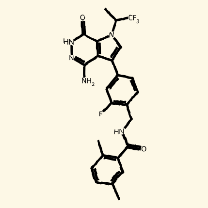 Cc1ccc(C)c(C(=O)NCc2ccc(-c3cn(C(C)C(F)(F)F)c4c(=O)[nH]nc(N)c34)cc2F)c1